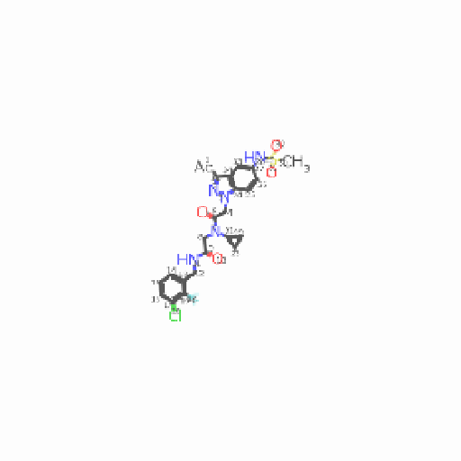 CC(=O)c1nn(CC(=O)N(CC(=O)NCc2cccc(Cl)c2F)C2CC2)c2ccc(NS(C)(=O)=O)cc12